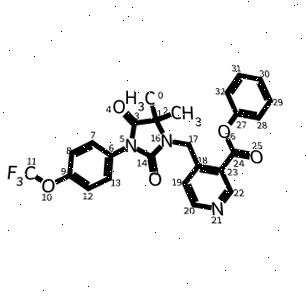 CC1(C)C(=O)N(c2ccc(OC(F)(F)F)cc2)C(=O)N1Cc1ccncc1C(=O)Oc1ccccc1